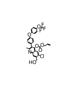 C=CCOC(=O)Oc1c(-c2ccc(Oc3ccc(OC(F)(F)F)cc3)cc2)c(C)nc2cc(CO)c(Cl)cc12